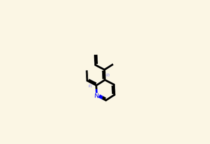 C=C/C(C)=c1/cccn/c1=C/C